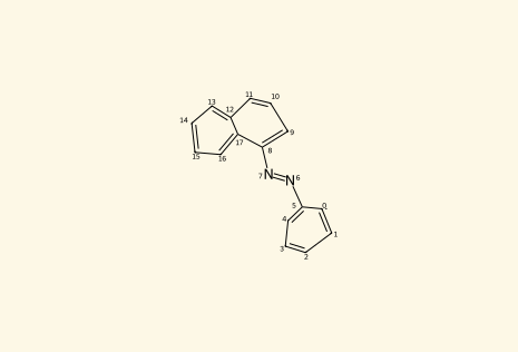 [c]1ccccc1N=Nc1cccc2ccccc12